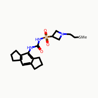 CSCCN1CC(S(=O)(=O)NC(=O)Nc2c3c(cc4c2CCC4)CCC3)C1